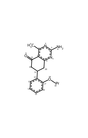 Cc1nc(N)nc2c1C(=O)CC(c1ccccc1OC(C)C)C2